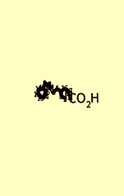 O=C(O)N1CCC(CCn2ccc3ccccc32)CC1